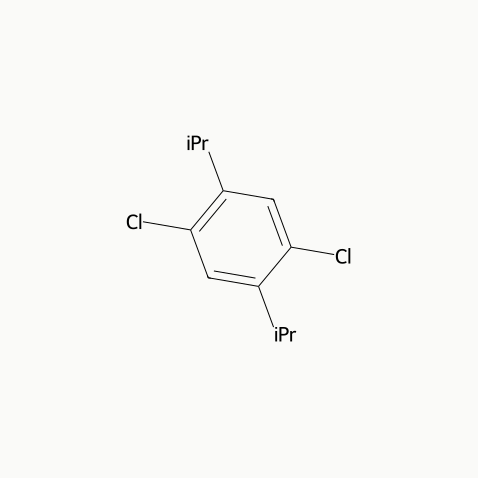 CC(C)c1cc(Cl)c(C(C)C)cc1Cl